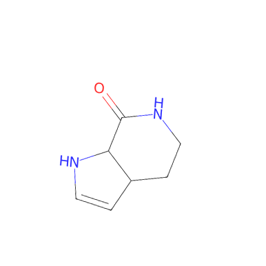 O=C1NCCC2C=CNC12